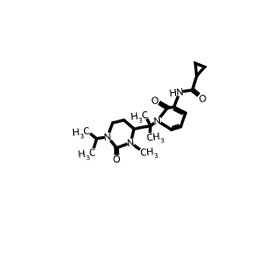 CC(C)N1CCC(C(C)(C)n2cccc(NC(=O)C3CC3)c2=O)N(C)C1=O